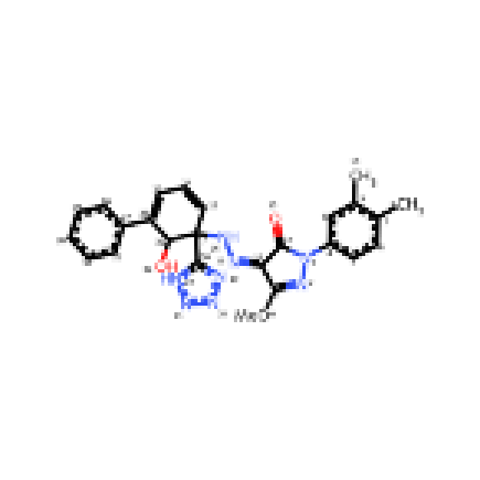 COC1=NN(c2ccc(C)c(C)c2)C(=O)C1=NNC1(c2nnn[nH]2)C=CC=C(c2ccccc2)C1O